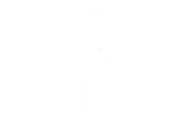 Cc1csc2sc(CN(C)C(=O)/C=C/c3cnc4c(c3)CCCON4)c(C)c12